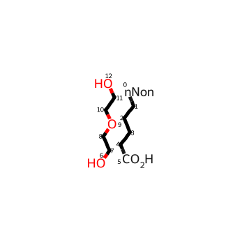 CCCCCCCCCCCCCC(=O)O.OCCOCCO